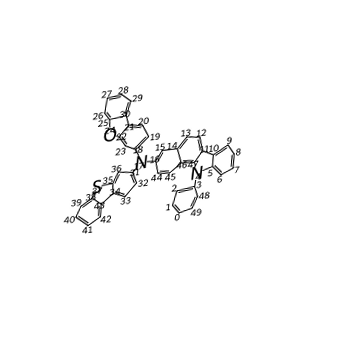 c1ccc(-n2c3ccccc3c3ccc4cc(N(c5ccc6c(c5)oc5ccccc56)c5ccc6c(c5)sc5ccccc56)ccc4c32)cc1